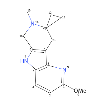 COc1ccc2[nH]c3c(c2n1)CC1(CC1)N(C)C3